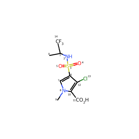 CC(NS(=O)(=O)c1cn(C)c(C(=O)O)c1Cl)C(F)(F)F